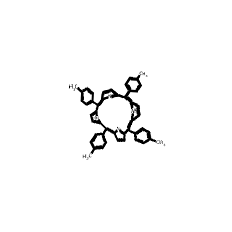 Cc1ccc(-c2c3nc(c(-c4ccc(C)cc4)c4ccc([nH]4)c(-c4ccc(C)cc4)c4nc(c(-c5ccc(C)cc5)c5ccc2[nH]5)C=C4)C=C3)cc1